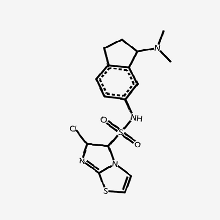 CN(C)C1CCc2ccc(NS(=O)(=O)C3C(Cl)N=C4SC=CN43)cc21